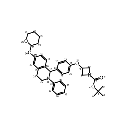 CC(C)(C)OC(=O)N1CC(Oc2ccc(C3c4ccc(OC5CCCCO5)cc4CCN3c3ccccc3)cc2)C1